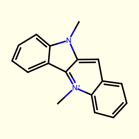 Cn1c2ccccc2c2c1cc1ccccc1[n+]2C